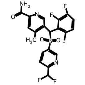 Cc1cc(C(N)=O)ncc1C(c1c(F)ccc(F)c1F)S(=O)(=O)c1ccc(C(F)F)nc1